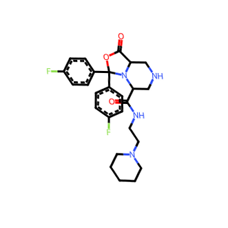 O=C(NCCN1CCCCC1)C1CNCC2C(=O)OC(c3ccc(F)cc3)(c3ccc(F)cc3)N12